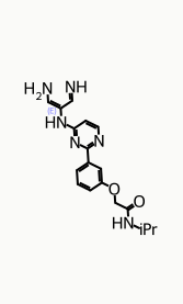 CC(C)NC(=O)COc1cccc(-c2nccc(N/C(C=N)=C/N)n2)c1